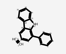 C#C.c1ccc(-c2cccc3c2[nH]c2ccccc23)cc1